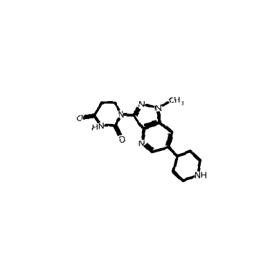 Cn1nc(N2CCC(=O)NC2=O)c2ncc(C3CCNCC3)cc21